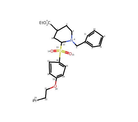 CCOC(=O)C1CCN(Cc2ccccc2)C(S(=O)(=O)c2ccc(OCCC(C)C)cc2)C1